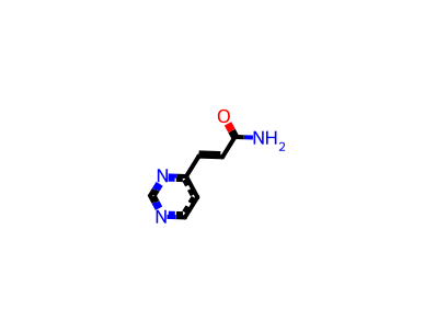 NC(=O)/C=C/c1ccncn1